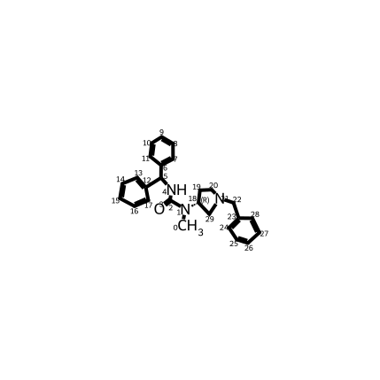 CN(C(=O)NC(c1ccccc1)c1ccccc1)[C@@H]1CCN(Cc2ccccc2)C1